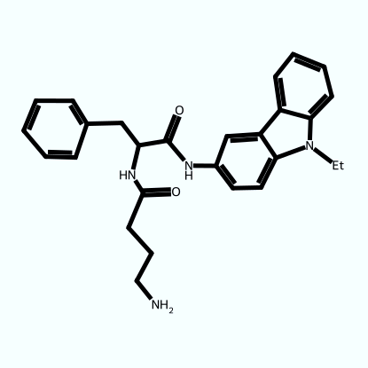 CCn1c2ccccc2c2cc(NC(=O)C(Cc3ccccc3)NC(=O)CCCN)ccc21